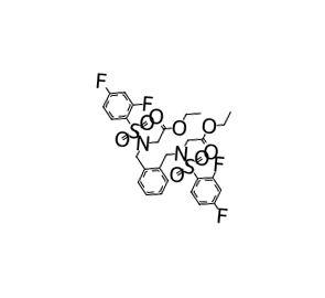 CCOC(=O)CN(Cc1ccccc1CN(CC(=O)OCC)S(=O)(=O)c1ccc(F)cc1F)S(=O)(=O)c1ccc(F)cc1F